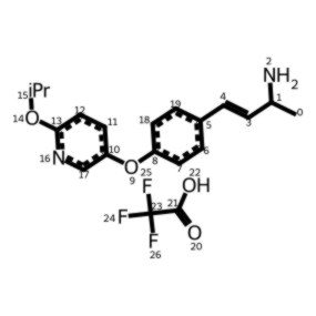 CC(N)C=Cc1ccc(Oc2ccc(OC(C)C)nc2)cc1.O=C(O)C(F)(F)F